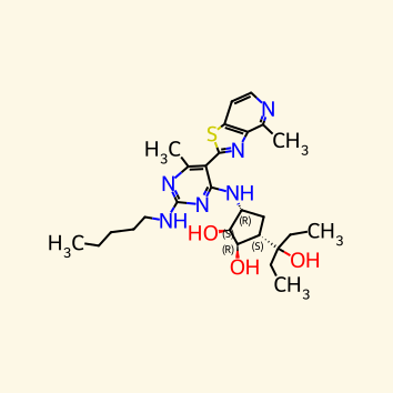 CCCCCNc1nc(C)c(-c2nc3c(C)nccc3s2)c(N[C@@H]2C[C@H](C(O)(CC)CC)[C@@H](O)[C@H]2O)n1